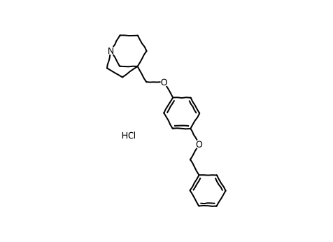 Cl.c1ccc(COc2ccc(OCC34CCCN(CC3)C4)cc2)cc1